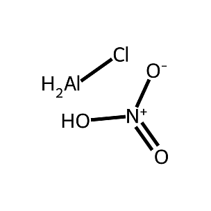 O=[N+]([O-])O.[AlH2][Cl]